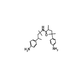 CC(CC(C)(C)c1ccc(N)cc1)C(=O)NC(C)(C)CC(C)c1ccc(N)cc1